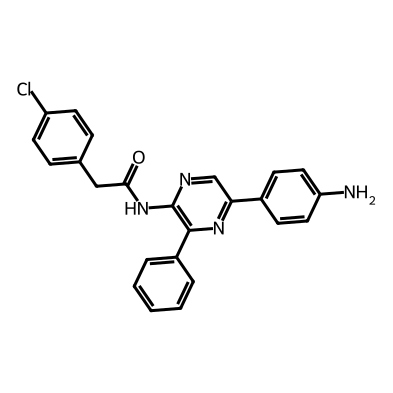 Nc1ccc(-c2cnc(NC(=O)Cc3ccc(Cl)cc3)c(-c3ccccc3)n2)cc1